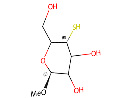 CO[C@H]1OC(CO)[C@H](S)C(O)C1O